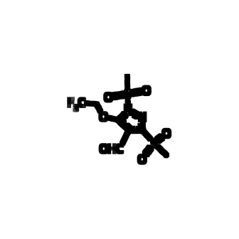 CS(=O)(=O)c1nn(S(C)(=O)=O)c(OCC(F)(F)F)c1C=O